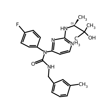 Cc1cccc(CNC(=O)N(c2ccc(F)cc2)c2ccnc(N[C@@H](C)C(C)(C)O)n2)c1